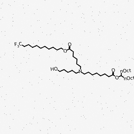 CCCCCCCCC(CCCCCCCC)OC(=O)CCCCCCCN(CCCCCO)CCCCCC(=O)OCCCCCCCCCCC(F)(F)F